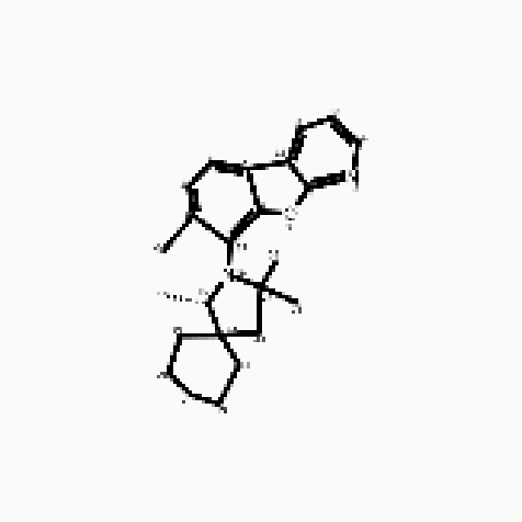 Cc1ccc2c(oc3ncccc32)c1N1[C@@H](C)C2(CCCCC2)CC1(C)C